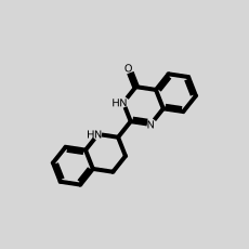 O=c1[nH]c(C2CCc3ccccc3N2)nc2ccccc12